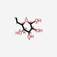 CCC1OC(O)C(O)C(O)[C@H]1O